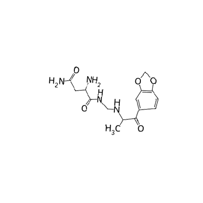 CC(NCNC(=O)C(N)CC(N)=O)C(=O)c1ccc2c(c1)OCO2